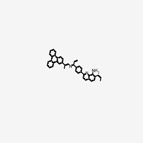 C=C/C(=N\C=C(/C)c1ccc2c3ccccc3c3ccccc3c2c1)c1ccc(-c2ccc3ccc(/C=C\C)c(N)c3n2)cc1